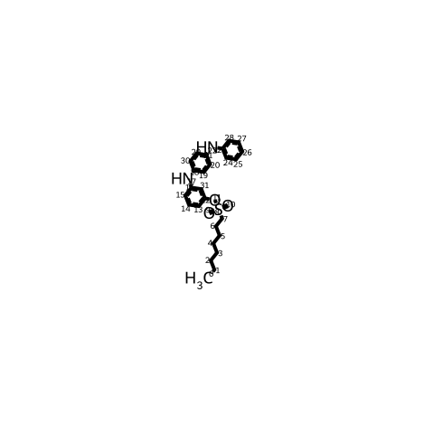 CCCCCCCCS(=O)(=O)Oc1cccc(Nc2ccc(Nc3ccccc3)cc2)c1